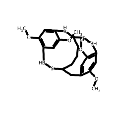 COc1cc2c(OC)cc1BSC1CCCC(B2)SBc2cc(OC)c(cc2OC)C1